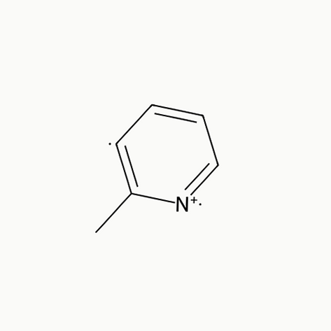 CC1=[C]C=CC=[N+]1